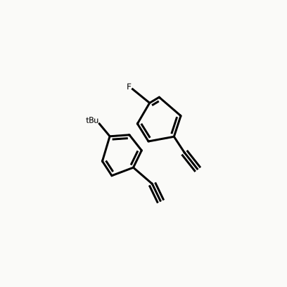 C#Cc1ccc(C(C)(C)C)cc1.C#Cc1ccc(F)cc1